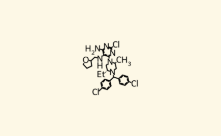 CC[C@@H]1CN(c2nc(Cl)nc(N)c2NCC2CCCO2)[C@@H](C)CN1C(c1ccc(Cl)cc1)c1ccc(Cl)cc1